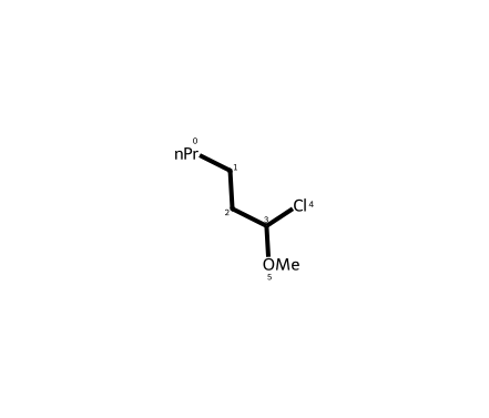 CCCCCC(Cl)OC